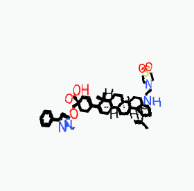 C=C(C)[C@@H]1CC[C@]2(NCCN3CCS(=O)(=O)CC3)CC[C@]3(C)[C@H](CC[C@@H]4[C@@]5(C)CC=C(C6=CCC(COc7cc(-c8ccccc8)nn7C)(C(=O)O)CC6)C(C)(C)[C@@H]5CC[C@]43C)[C@@H]12